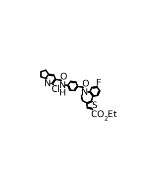 CCOC(=O)c1cc2c(s1)-c1ccc(F)cc1N(C(=O)c1ccc(NC(=O)c3cc4c(nc3Cl)CCC4)cc1)CC2